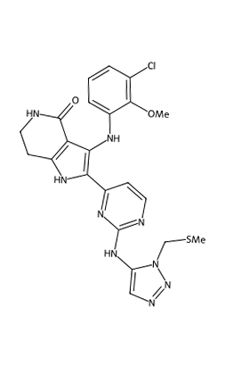 COc1c(Cl)cccc1Nc1c(-c2ccnc(Nc3cnnn3CSC)n2)[nH]c2c1C(=O)NCC2